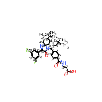 CC(C)(C)CC[C@H](c1ccc(C(=O)NCCC(=O)O)cc1)N1C(=O)C(c2cc(F)cc(F)c2)=NC12CCC([Si](C)(C)C)CC2